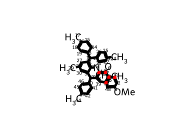 COc1ccc(C(=O)C(C)=Nc2c(C(c3ccc(C)cc3)c3ccc(C)cc3)cc(C)cc2C(c2ccc(C)cc2)c2ccc(C)cc2)cc1